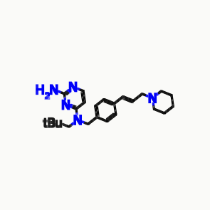 CC(C)(C)CN(Cc1ccc(/C=C/CN2CCCCC2)cc1)c1ccnc(N)n1